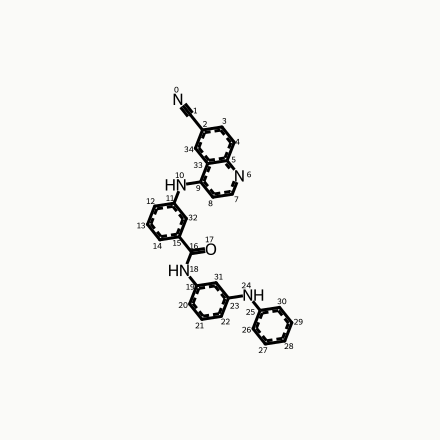 N#Cc1ccc2nccc(Nc3cccc(C(=O)Nc4cccc(Nc5ccccc5)c4)c3)c2c1